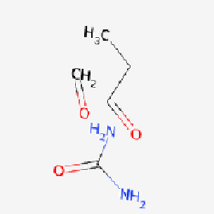 C=O.CCC=O.NC(N)=O